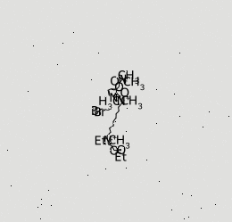 CCC(=O)OCC[N+](C)(CC)CCCCCCCCCC[N+](C)(C)C(=O)c1ncccc1OC(=O)N(C)C.[Br-].[Br-]